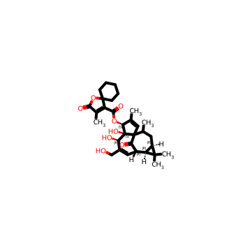 CC1=CC23C(=O)[C@@H](C=C(CO)[C@@H](O)[C@]2(O)[C@H]1OC(=O)C1=C(C)C(=O)OC12CCCCC2)[C@H]1[C@@H](CC3C)C1(C)C